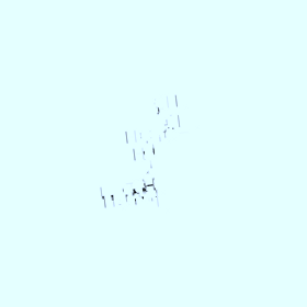 CC#CC[C@H](C)[C@@H](O)/C=C/[C@@H]1[C@H]2CC(=CCOCC(=O)N(C)C(C)(C)C)C[C@H]2C[C@H]1O